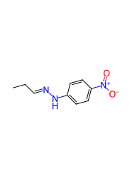 CCC=NNc1ccc([N+](=O)[O-])cc1